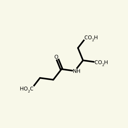 O=C(O)CCC(=O)NC(CC(=O)O)C(=O)O